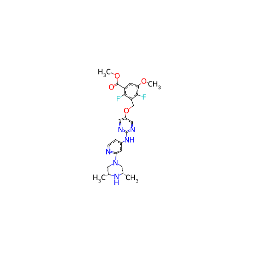 COC(=O)c1cc(OC)c(F)c(COc2cnc(Nc3ccnc(N4C[C@@H](C)N[C@@H](C)C4)c3)nc2)c1F